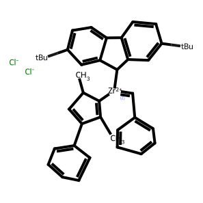 CC1=[C](/[Zr+2](=[CH]\c2ccccc2)[CH]2c3cc(C(C)(C)C)ccc3-c3ccc(C(C)(C)C)cc32)C(C)C=C1c1ccccc1.[Cl-].[Cl-]